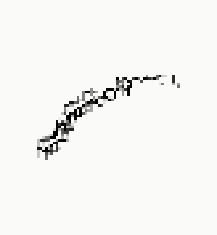 CCCCCCc1cnc(-c2ccc(OC(F)C(F)(F)C(F)(F)C(F)(F)C(F)(F)C(F)(F)OC(F)(F)C(F)(F)OC(F)(F)C(F)(F)C(F)(F)C(F)(F)F)cc2)nc1